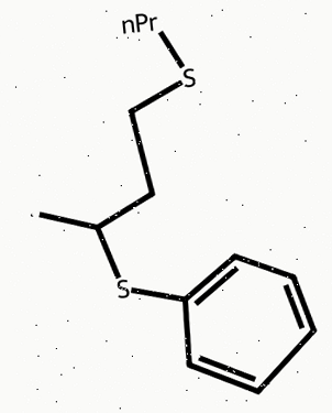 [CH2]C(CCSCCC)Sc1ccccc1